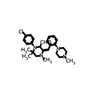 CN1CCN(c2ccccc2C=C2C(C=O)N(c3ccc(Cl)cc3)C(C)(C)CN2C)CC1